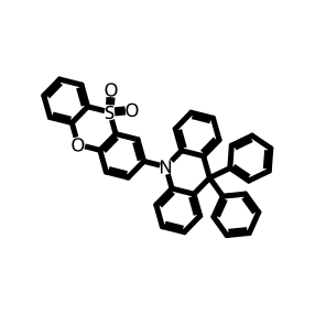 O=S1(=O)c2ccccc2Oc2ccc(N3c4ccccc4C(c4ccccc4)(c4ccccc4)c4ccccc43)cc21